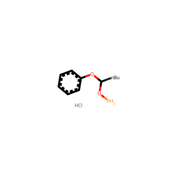 CCCCC(OP)Oc1ccccc1.Cl